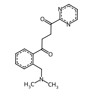 CN(C)Cc1ccccc1C(=O)CCC(=O)c1ncccn1